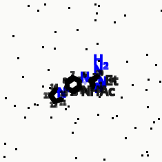 CCn1ncc(/N=C2/C=CC(=[N+]3CCCC3)C=C2NC(C)=O)c1N